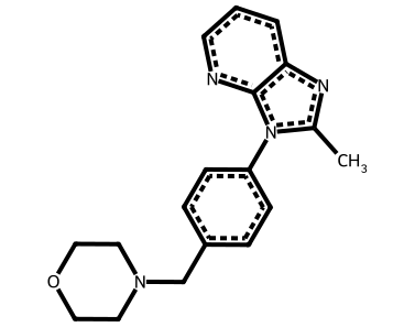 Cc1nc2cccnc2n1-c1ccc(CN2CCOCC2)cc1